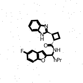 CCC[C@H](NC(=O)[C@H]1CC[C@@H]1c1nc2ccccc2[nH]1)c1cc2cc(F)ccc2o1